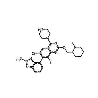 CN1CCCCC1COc1nc(N2CCNCC2)c2cc(Cl)c(-c3cccc4sc(N)nc34)c(F)c2n1